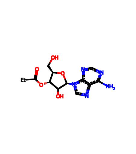 CCC(=O)O[C@H]1[C@H](O)[C@H](n2cnc3c(N)ncnc32)O[C@@H]1CO